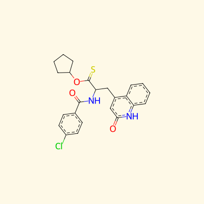 O=C(NC(Cc1cc(=O)[nH]c2ccccc12)C(=S)OC1CCCC1)c1ccc(Cl)cc1